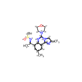 CC(=N[S+]([O-])C(C)(C)C)c1cc(C)cc2c1nc(N1CCOCC1)n1cc(C(F)(F)F)nc21